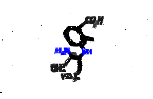 Cc1c(NC(CC(=O)O)[C@H](N)C=O)cccc1C(=O)O